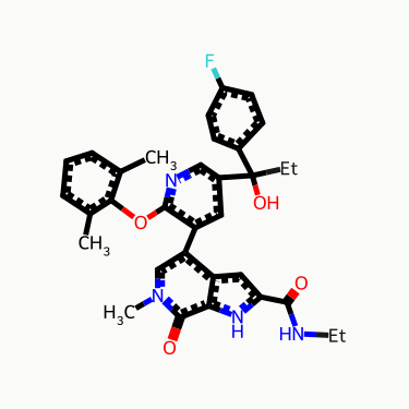 CCNC(=O)c1cc2c(-c3cc(C(O)(CC)c4ccc(F)cc4)cnc3Oc3c(C)cccc3C)cn(C)c(=O)c2[nH]1